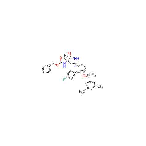 C[C@@H](O[C@H]1CC/C(=C2/C[C@@](C)(NC(=O)OCc3ccccc3)C(=O)N2)[C@@H]1c1ccc(F)cc1)c1cc(C(F)(F)F)cc(C(F)(F)F)c1